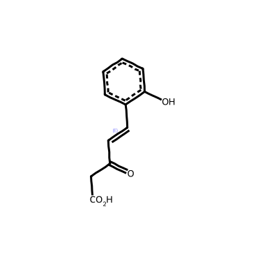 O=C(O)CC(=O)/C=C/c1ccccc1O